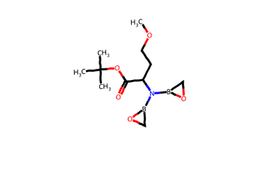 COCCC(C(=O)OC(C)(C)C)N(B1CO1)B1CO1